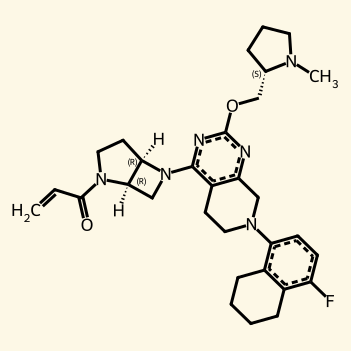 C=CC(=O)N1CC[C@@H]2[C@H]1CN2c1nc(OC[C@@H]2CCCN2C)nc2c1CCN(c1ccc(F)c3c1CCCC3)C2